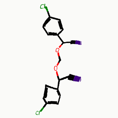 Clc1ccc(C(C#I)OCOC(C#I)c2ccc(Cl)cc2)cc1